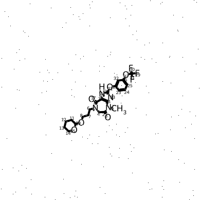 CN1C(=O)CN(CCCOC2CCCCO2)C(=O)c2[nH]c(Oc3cccc(OC(F)(F)F)c3)nc21